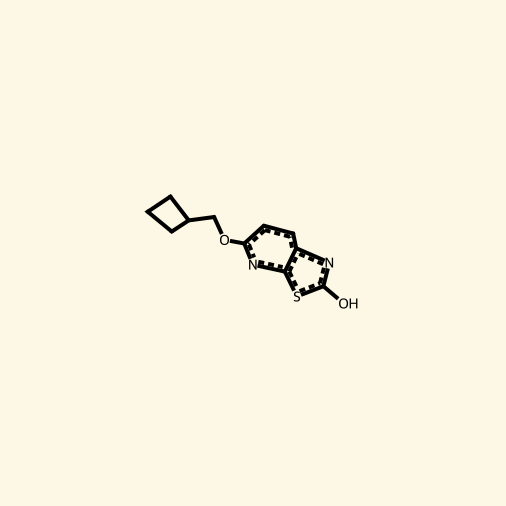 Oc1nc2ccc(OCC3CCC3)nc2s1